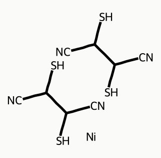 N#CC(S)C(S)C#N.N#CC(S)C(S)C#N.[Ni]